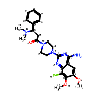 COc1cc2c(N)nc(N3CCN(C(=O)C[C@H](c4ccccc4)N(C)C)CC3)nc2c(F)c1OC